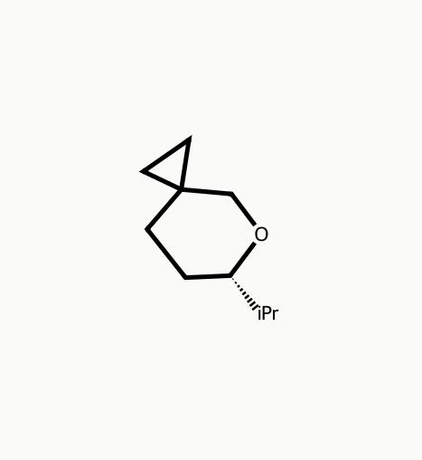 CC(C)[C@@H]1CCC2(CC2)CO1